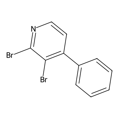 Brc1nccc(-c2ccccc2)c1Br